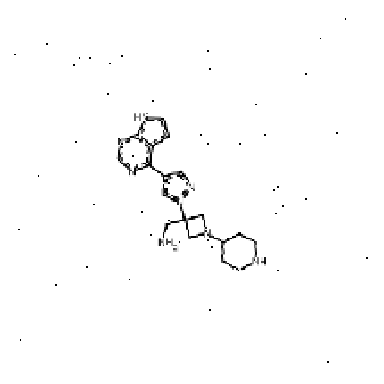 NCC1(n2cc(-c3ncnc4[nH]ccc34)cn2)CN(C2CCNCC2)C1